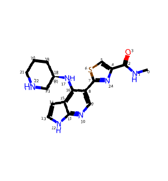 CNC(=O)c1csc(-c2cnc3[nH]ccc3c2N[C@@H]2CCCNC2)n1